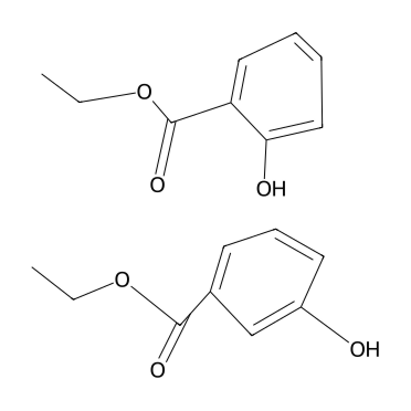 CCOC(=O)c1cccc(O)c1.CCOC(=O)c1ccccc1O